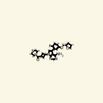 Nc1ncnc2c1c(-c1cc(OC[C@H]3CCCO3)ccc1F)cn2C1CC(C(=O)N2CCSCC2)C1